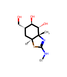 CCNC1=N[C@]2(C)[C@H](C[C@H](CO)[C@@H](O)[C@@H]2O)S1